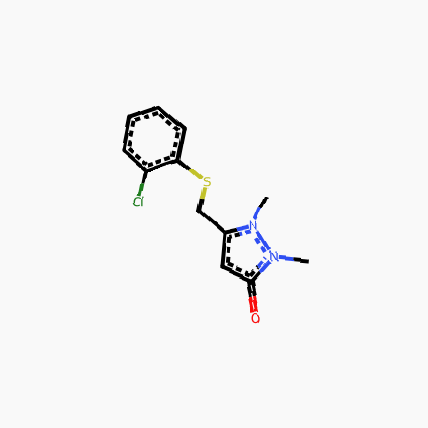 Cn1c(CSc2ccccc2Cl)cc(=O)n1C